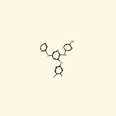 N#Cc1ccc(Nc2ncc(Sc3ccccn3)cc2Oc2ccc(F)c(F)c2)nc1